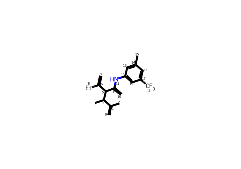 C=C(C)C(C)C(C(=C)CC)C(=C)Nc1cc(C)cc(C(F)(F)F)c1